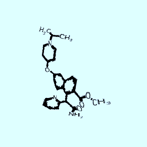 COC(=O)c1ccc2cc(OC3CCN(C(C)C)CC3)ccc2c1C(C(N)=O)c1ccccn1